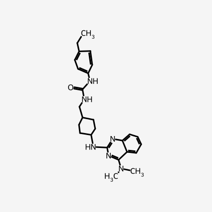 CCc1ccc(NC(=O)NCC2CCC(Nc3nc(N(C)C)c4ccccc4n3)CC2)cc1